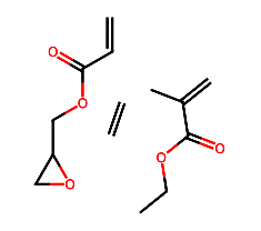 C=C.C=C(C)C(=O)OCC.C=CC(=O)OCC1CO1